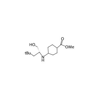 COC(=O)C1CCC(N[C@@H](CO)CC(C)(C)C)CC1